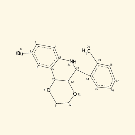 CCC(C)c1ccc2c(c1)C1OCCOC1C(c1ccccc1C)N2